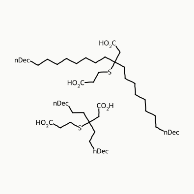 CCCCCCCCCCCCC(CCCCCCCCCCCC)(CC(=O)O)SCCC(=O)O.CCCCCCCCCCCCCCCCCCC(CCCCCCCCCCCCCCCCCC)(CC(=O)O)SCCC(=O)O